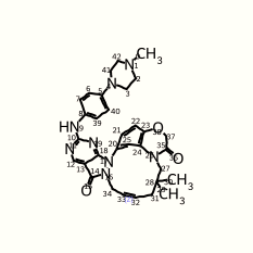 CN1CCN(c2ccc(Nc3ncc4c(=O)n5n(c4n3)-c3ccc4c(c3)N(CC(C)(C)C/C=C\C5)C(=O)CO4)cc2)CC1